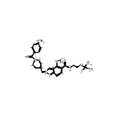 COc1c(C(=O)NCCSC(C)(F)P)ccc2nn(CC3CCN(C(=O)c4ccc(C)cc4)CC3)cc12